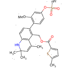 CCCS(=O)(=O)Oc1ccc(-c2ccc3c(c2COC(=O)c2ccc(C)s2)C(C)=CC(C)(C)N3)c(OC)c1